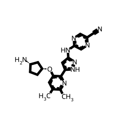 Cc1cc(O[C@@H]2CC[C@H](N)C2)c(-c2cc(Nc3cnc(C#N)cn3)n[nH]2)nc1C